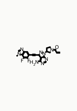 C=CC(=O)N1CCC(n2nc(C#Cc3cc4ncn(C)c4c(F)c3F)c3c(N)ncnc32)C1